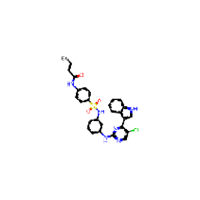 CC/C=C/C(=O)Nc1ccc(S(=O)(=O)Nc2cccc(Nc3ncc(Cl)c(-c4c[nH]c5ccccc45)n3)c2)cc1